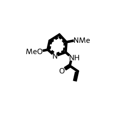 C=CC(=O)Nc1nc(OC)ccc1NC